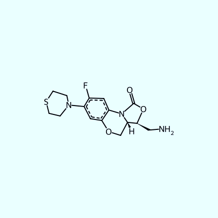 NC[C@@H]1OC(=O)N2c3cc(F)c(N4CCSCC4)cc3OC[C@@H]12